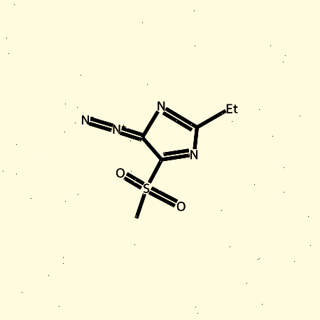 CCC1=NC(=[N+]=[N-])C(S(C)(=O)=O)=N1